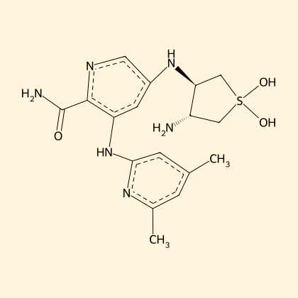 Cc1cc(C)nc(Nc2cc(N[C@H]3CS(O)(O)C[C@@H]3N)cnc2C(N)=O)c1